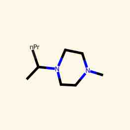 CCC[C](C)N1CCN(C)CC1